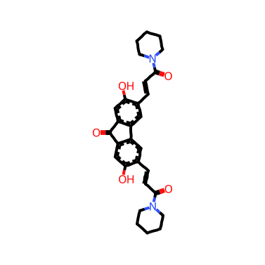 O=C1c2cc(O)c(/C=C/C(=O)N3CCCCC3)cc2-c2cc(/C=C/C(=O)N3CCCCC3)c(O)cc21